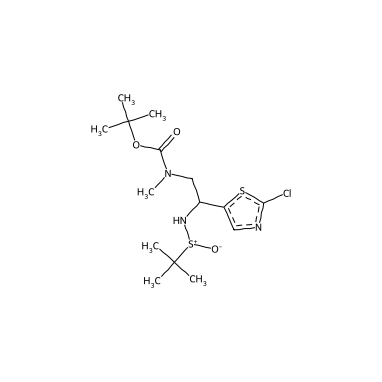 CN(CC(N[S+]([O-])C(C)(C)C)c1cnc(Cl)s1)C(=O)OC(C)(C)C